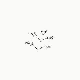 O=C([O-])CS(=O)(=O)O.O=C([O-])CS(=O)(=O)O.[Mg+2]